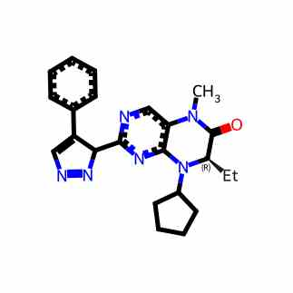 CC[C@@H]1C(=O)N(C)c2cnc(C3N=NC=C3c3ccccc3)nc2N1C1CCCC1